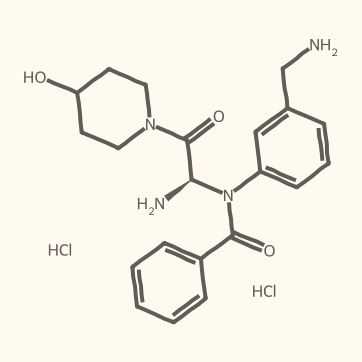 Cl.Cl.NCc1cccc(N(C(=O)c2ccccc2)[C@@H](N)C(=O)N2CCC(O)CC2)c1